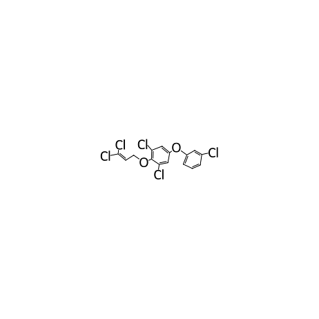 ClC(Cl)=CCOc1c(Cl)cc(Oc2cccc(Cl)c2)cc1Cl